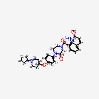 O=C(c1cccc2ccc(=O)[nH]c12)N1CCN(c2ccc(OC3CCN(C4CCCC4)CC3)cc2)C(=O)C1